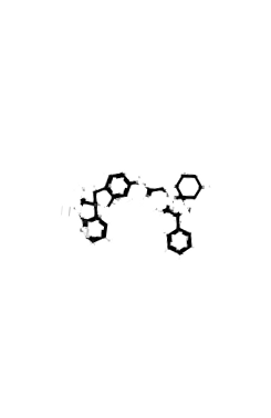 O=C(CN1C(=O)C(c2ccccc2)=NC12CCCCC2)Nc1ccc2c(c1)C[C@@]1(C2)C(=O)Nc2ncccc21